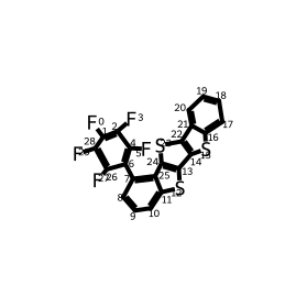 Fc1c(F)c(F)c(-c2cccc3sc4c5sc6ccccc6c5sc4c23)c(F)c1F